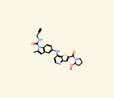 C#CCNC(=O)n1c(C)cc2cc(Nc3ccnc4cc(C(=O)N5CCCC5OC)sc34)ccc21